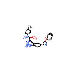 N#Cc1ccc(NC(=O)c2n[nH]c3ccc(-c4cncc(Oc5ccccc5)c4)cc23)cc1